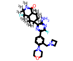 [2H]N1C(=O)C2([2H])C([2H])([2H])C([2H])([2H])C([2H])(c3nc(-c4ccc(N5CCOCC5)c(CN5CCC5)c4)c(F)nc3N)C([2H])([2H])C2([2H])C([2H])(F)C1([2H])[2H]